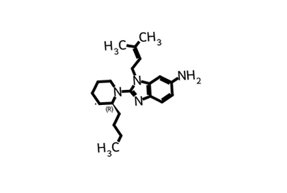 CCCC[C@H]1[CH]CCCN1c1nc2ccc(N)cc2n1CC=C(C)C